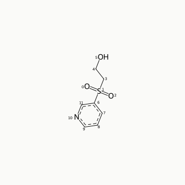 O=S(=O)(CCO)c1cccnc1